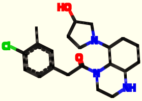 Cc1cc(CC(=O)N2CCNC3CCCC(N4CCC(O)C4)C32)ccc1Cl